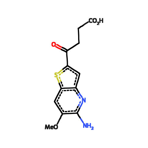 COc1cc2sc(C(=O)CCC(=O)O)cc2nc1N